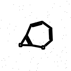 c1ccc2oc=2oc1